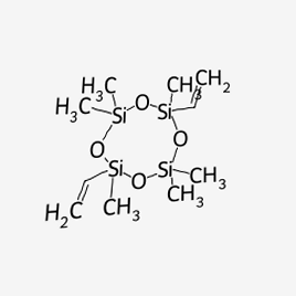 C=C[Si]1(C)O[Si](C)(C)O[Si](C)(C=C)O[Si](C)(C)O1